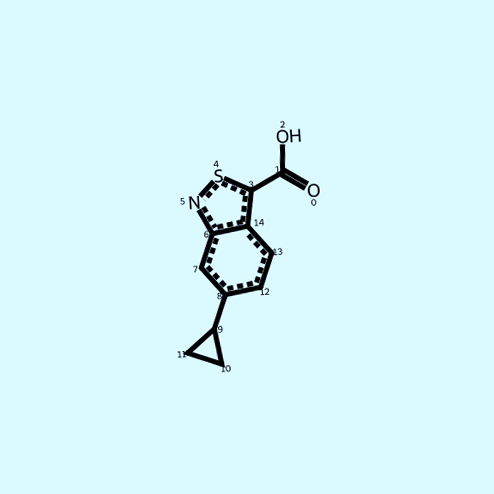 O=C(O)c1snc2cc(C3CC3)ccc12